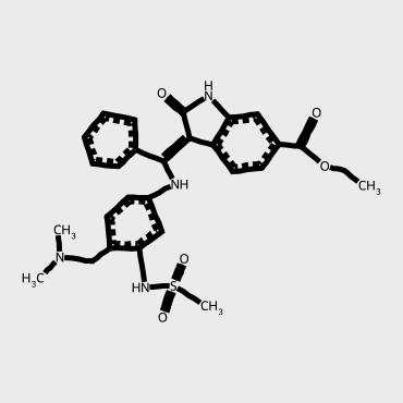 CCOC(=O)c1ccc2c(c1)NC(=O)C2=C(Nc1ccc(CN(C)C)c(NS(C)(=O)=O)c1)c1ccccc1